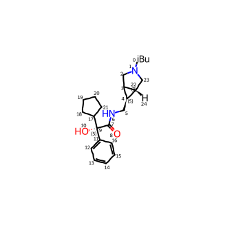 CCC(C)N1CC2[C@H](CNC(=O)[C@@](O)(c3ccccc3)C3CCCC3)[C@H]2C1